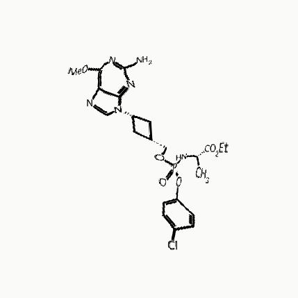 CCOC(=O)[C@H](C)NP(=O)(OC[C@H]1C[C@@H](n2cnc3c(OC)nc(N)nc32)C1)Oc1ccc(Cl)cc1